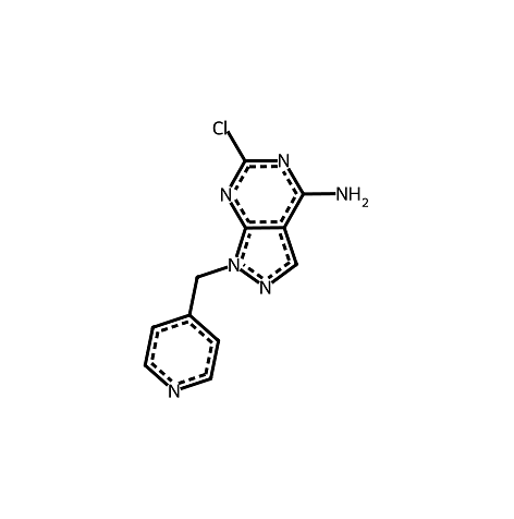 Nc1nc(Cl)nc2c1cnn2Cc1ccncc1